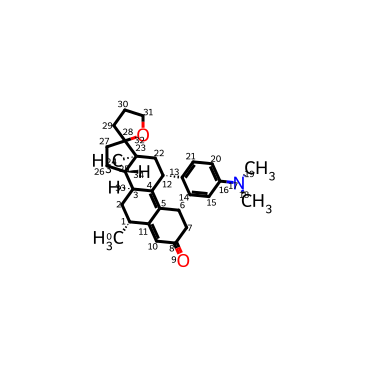 C[C@@H]1C[C@@H]2C(=C3CCC(=O)C=C31)[C@@H](c1ccc(N(C)C)cc1)C[C@@]1(C)[C@H]2CCC12CCCO2